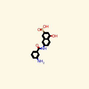 Nc1cccc(C(=O)Nc2ccc3c(O)cc(S(=O)O)cc3c2)c1